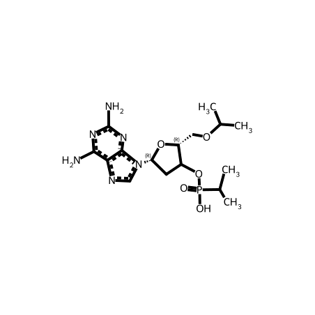 CC(C)OC[C@H]1O[C@@H](n2cnc3c(N)nc(N)nc32)CC1OP(=O)(O)C(C)C